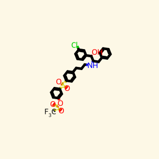 O=S(=O)(c1ccc(CCCNC(Cc2ccccc2)[C@H](O)c2cccc(Cl)c2)cc1)c1cccc(OS(=O)(=O)C(F)(F)F)c1